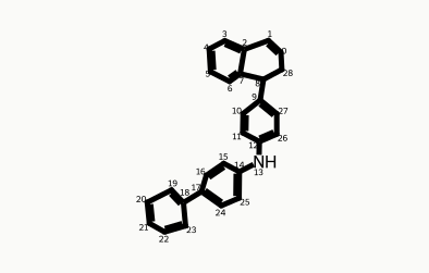 C1=Cc2ccccc2C(c2ccc(Nc3ccc(-c4ccccc4)cc3)cc2)C1